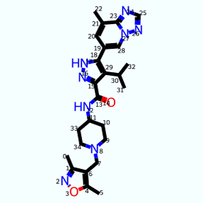 Cc1noc(C)c1CN1CCC(NC(=O)c2n[nH]c(-c3cc(C)c4ncnn4c3)c2C(C)C)CC1